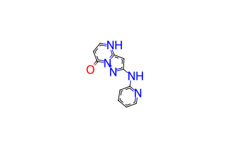 O=c1cc[nH]c2cc(Nc3ccccn3)nn12